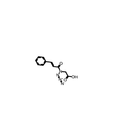 [N-]=[N+]=NN(CC(=O)O)C(=O)/C=C/c1ccccc1